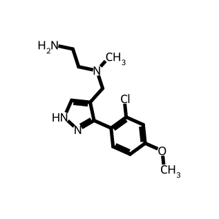 COc1ccc(-c2n[nH]cc2CN(C)CCN)c(Cl)c1